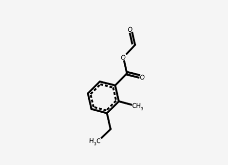 CCc1cccc(C(=O)OC=O)c1C